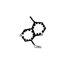 COc1cncc2c(C)ccnc12